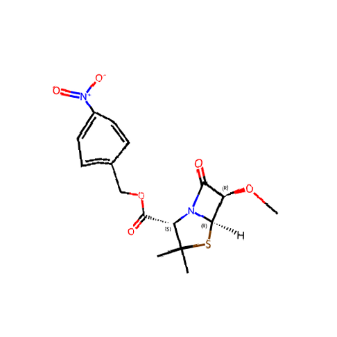 CO[C@@H]1C(=O)N2[C@@H]1SC(C)(C)[C@@H]2C(=O)OCc1ccc([N+](=O)[O-])cc1